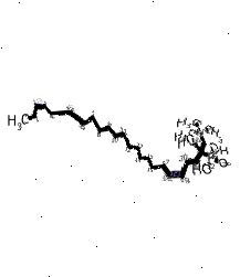 CC/C=C\CCCCCCCCCCCCCC/C=C\CCC(O)(C[N+](C)(C)C)P(=O)(O)O